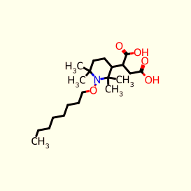 CCCCCCCCON1C(C)(C)CCC(C(CC(=O)O)C(=O)O)C1(C)C